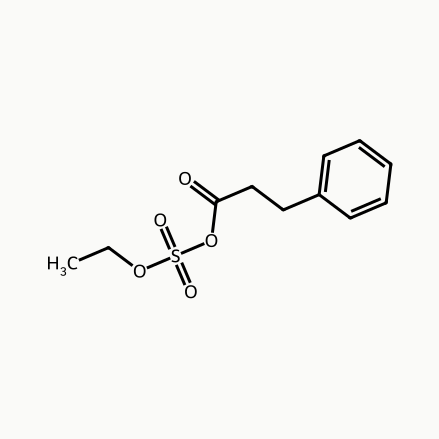 CCOS(=O)(=O)OC(=O)CCc1ccccc1